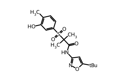 Cc1ccc(S(=O)(=O)C(C)(C)C(=O)Nc2cc(C(C)(C)C)on2)cc1O